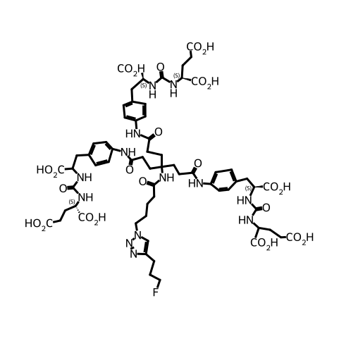 O=C(O)CCC(NC(=O)N[C@@H](Cc1ccc(NC(=O)CCC(CCC(=O)Nc2ccc(CC(NC(=O)N[C@@H](CCC(=O)O)C(=O)O)C(=O)O)cc2)(CCC(=O)Nc2ccc(C[C@H](NC(=O)N[C@@H](CCC(=O)O)C(=O)O)C(=O)O)cc2)NC(=O)CCCCn2cc(CCCF)nn2)cc1)C(=O)O)C(=O)O